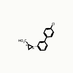 O=C(O)[C@@H]1C[C@H]1c1cccc(-c2ccc(Cl)cc2)c1